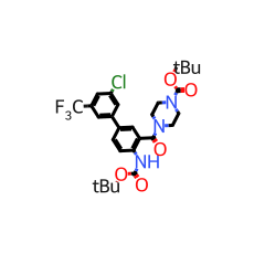 CC(C)(C)OC(=O)Nc1ccc(-c2cc(Cl)cc(C(F)(F)F)c2)cc1C(=O)N1CCN(C(=O)OC(C)(C)C)CC1